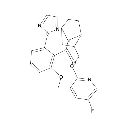 COc1cccc(-n2nccn2)c1C(=O)N1C2CCC1C(COc1ccc(F)cn1)C2